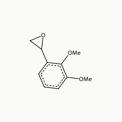 COc1cccc(C2CO2)c1OC